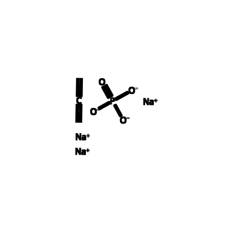 C=C=C.O=P([O-])([O-])[O-].[Na+].[Na+].[Na+]